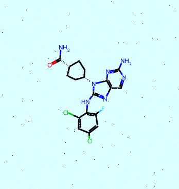 Nc1ncc2nc(Nc3c(F)cc(Cl)cc3Cl)n([C@H]3CC[C@@H](C(N)=O)CC3)c2n1